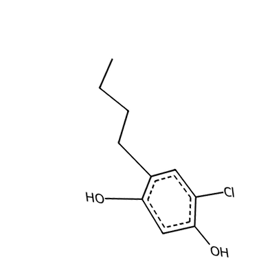 CCCCc1cc(Cl)c(O)cc1O